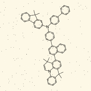 CC1(C)C=CN2c3ccccc3C(C)(C)c3ccc(-c4ccc(-c5ccc(N(c6ccc(-c7ccccc7)cc6)c6ccc7c(c6)C(C)(C)c6ccccc6-7)cc5)c5ccccc45)c1c32